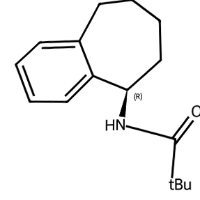 CC(C)(C)C(=O)N[C@@H]1CCCCc2ccccc21